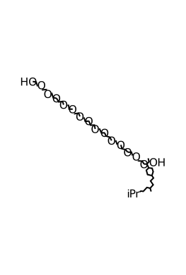 CC(C)CCCC(C)CCCC1CCC(C(OCCOCCOCCOCCOCCOCCOCCOCCOCCOCCOCCOCCOCCOCCO)C(C)O)CC1